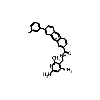 Cc1cc(N)nc(C)c1CNC(=O)c1ccc2c(c1)c1oc2c2ccc(-c3cccc(F)c3)cc21